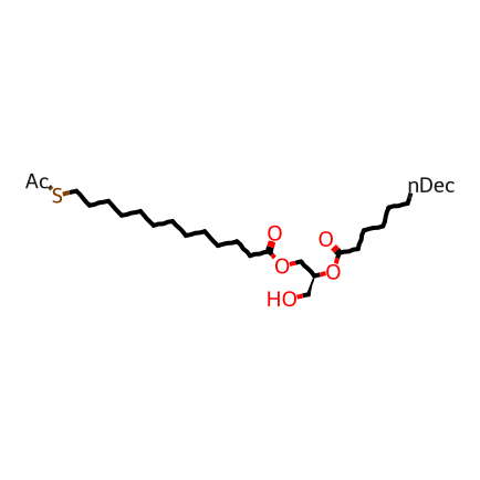 CCCCCCCCCCCCCCCC(=O)O[C@@H](CO)COC(=O)CCCCCCCCCCCCSC(C)=O